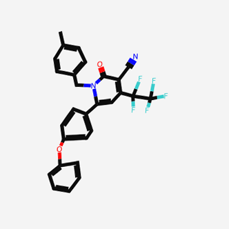 Cc1ccc(Cn2c(-c3ccc(Oc4ccccc4)cc3)cc(C(F)(F)C(F)(F)F)c(C#N)c2=O)cc1